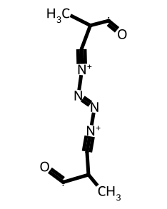 CC([C]=O)C#[N+]N=N[N+]#CC(C)[C]=O